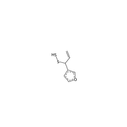 C=CC(SS)c1ccoc1